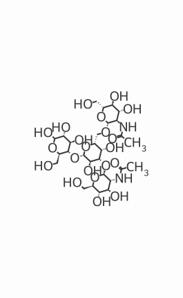 CC(=O)N[C@H]1[C@H](OC[C@H]2O[C@@H](O[C@H]3[C@H](O)[C@@H](O)C(O)O[C@@H]3CO)[C@H](O)[C@@H](O[C@@H]3O[C@H](CO)[C@@H](O)[C@H](O)[C@H]3NC(C)=O)[C@H]2O)O[C@H](CO)[C@@H](O)[C@@H]1O